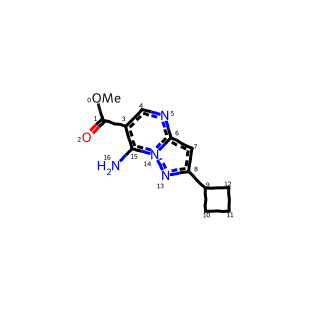 COC(=O)c1cnc2cc(C3CCC3)nn2c1N